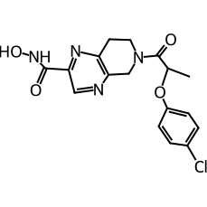 CC(Oc1ccc(Cl)cc1)C(=O)N1CCc2nc(C(=O)NO)cnc2C1